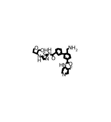 NCc1ccc(C(=O)Nc2ccncc2F)cc1-c1cccc(C(=O)Nc2ncc(NC3CCOC3O)s2)c1